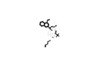 C=CCCCOC(=O)N[C@H](C(=O)N1CC(OC)(c2cc(C=C)c3ccccc3c2)CC1C(=O)OC)C(C)(C)C